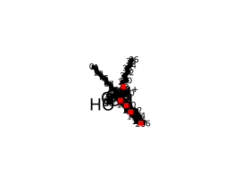 CCCCCCCCCCC(CCCCCCCCCC)(OP(=O)(O)O)C(CCCCCCCCCC)(CCCCCCCCCC)[N+](C)(C)C